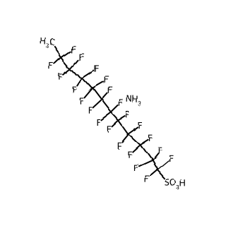 CC(F)(F)C(F)(F)C(F)(F)C(F)(F)C(F)(F)C(F)(F)C(F)(F)C(F)(F)C(F)(F)C(F)(F)C(F)(F)S(=O)(=O)O.N